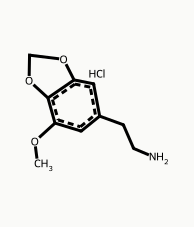 COc1cc(CCN)cc2c1OCO2.Cl